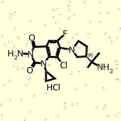 CC(C)(N)[C@@H]1CCN(c2c(F)cc3c(=O)n(N)c(=O)n(C4CC4)c3c2Cl)C1.Cl